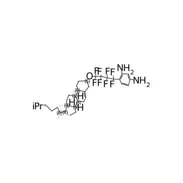 CC(C)CCC[C@@H](C)[C@H]1CC[C@H]2[C@@H]3CC=C4C[C@@H](OC(F)(F)C(F)(F)C(F)(F)C(F)(F)c5ccc(N)cc5N)CC[C@]4(C)[C@H]3CC[C@]12C